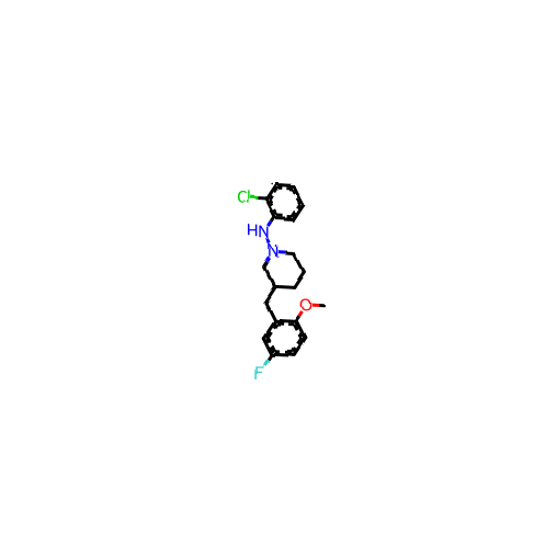 COc1ccc(F)cc1CC1CCCN(Nc2ccc[c]c2Cl)C1